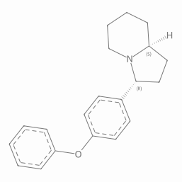 c1ccc(Oc2ccc([C@H]3CC[C@@H]4CCCCN43)cc2)cc1